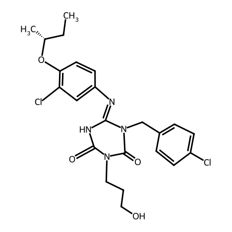 CC[C@@H](C)Oc1ccc(/N=c2\[nH]c(=O)n(CCCO)c(=O)n2Cc2ccc(Cl)cc2)cc1Cl